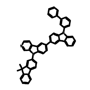 CC1(C)c2ccccc2-c2ccc(-n3c4ccc(-c5ccc6c(c5)c5ccccc5n6-c5cccc(-c6ccccc6)c5)cc4c4ccncc43)cc21